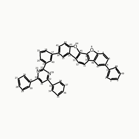 c1ccc(-c2ccc3oc4c(ccc5c6cc(-c7cccc(-c8nc(-c9ccccc9)cc(-c9ccccc9)n8)c7)ccc6oc54)c3c2)cc1